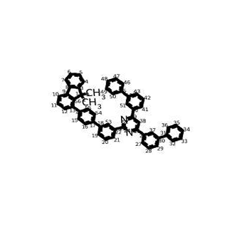 CC1(C)c2ccccc2-c2cccc(-c3ccc(-c4cccc(-c5nc(-c6cccc(-c7ccccc7)c6)cc(-c6cccc(-c7ccccc7)c6)n5)c4)cc3)c21